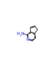 Nc1nccc2c1C=CC2